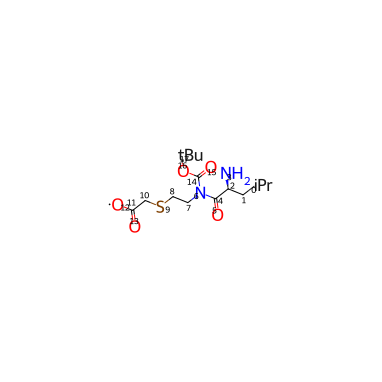 CC(C)C[C@H](N)C(=O)N(CCSCC([O])=O)C(=O)OC(C)(C)C